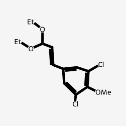 CCOC(/C=C/c1cc(Cl)c(OC)c(Cl)c1)OCC